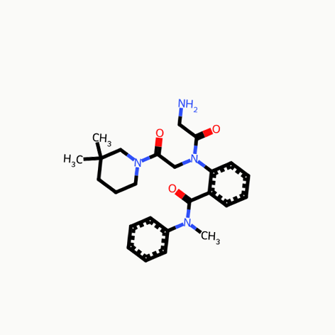 CN(C(=O)c1ccccc1N(CC(=O)N1CCCC(C)(C)C1)C(=O)CN)c1ccccc1